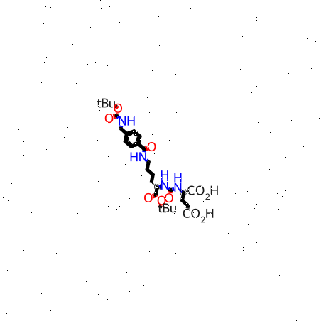 CC(C)(C)OC(=O)NCc1ccc(C(=O)NCCCC[C@H](NC(=O)N[C@@H](CCC(=O)O)C(=O)O)C(=O)OC(C)(C)C)cc1